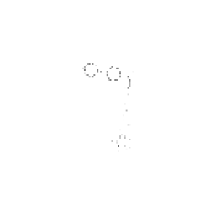 CC(=NOCCCCC1COC(C)(OC(=O)O)OC1)c1ccc(-c2ccccc2)cc1